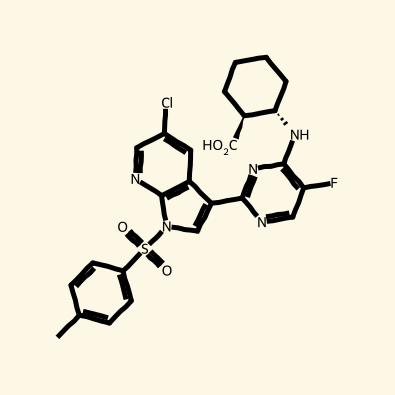 Cc1ccc(S(=O)(=O)n2cc(-c3ncc(F)c(N[C@H]4CCCC[C@@H]4C(=O)O)n3)c3cc(Cl)cnc32)cc1